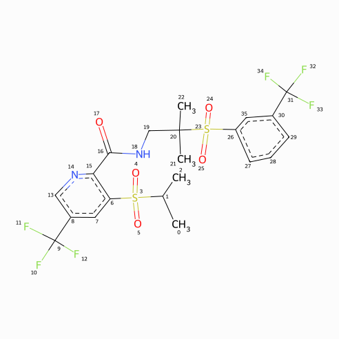 CC(C)S(=O)(=O)c1cc(C(F)(F)F)cnc1C(=O)NCC(C)(C)S(=O)(=O)c1cccc(C(F)(F)F)c1